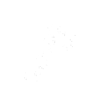 CC[C@@H](C)CN1CCN(C(=O)NCc2ccc(C(=O)N3Cc4cnn(C)c4Nc4ccccc43)cc2C)CC1